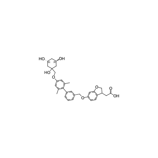 Cc1cc(OCC2(O)C[C@H](O)C[C@@H](O)C2)cc(C)c1-c1cccc(COc2ccc3c(c2)OCC3CC(=O)O)c1